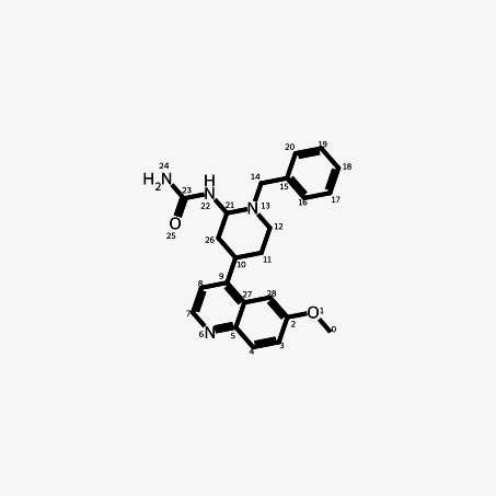 COc1ccc2nccc(C3CCN(Cc4ccccc4)C(NC(N)=O)C3)c2c1